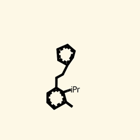 Cc1cccc(CCc2ccccc2)c1C(C)C